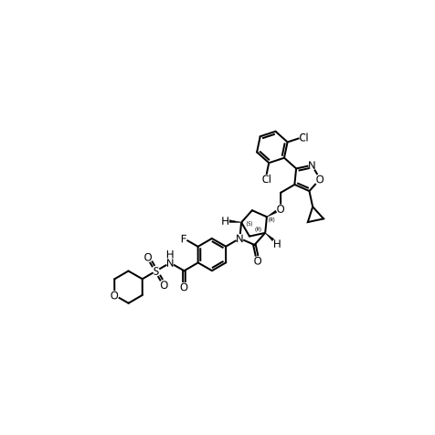 O=C(NS(=O)(=O)C1CCOCC1)c1ccc(N2C(=O)[C@@H]3C[C@H]2C[C@H]3OCc2c(-c3c(Cl)cccc3Cl)noc2C2CC2)cc1F